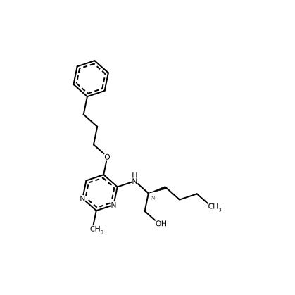 CCCC[C@@H](CO)Nc1nc(C)ncc1OCCCc1ccccc1